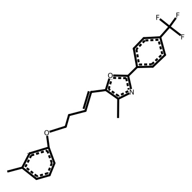 Cc1[c]c(OCCC=Cc2oc(-c3ccc(C(F)(F)F)cc3)nc2C)ccc1